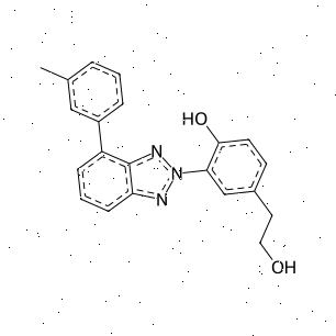 Cc1cccc(-c2cccc3nn(-c4cc(CCO)ccc4O)nc23)c1